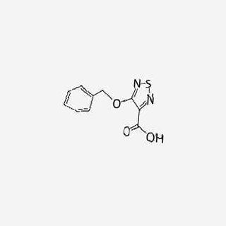 O=C(O)c1nsnc1OCc1ccccc1